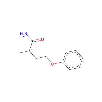 CC(CCOc1ccccc1)C(N)=O